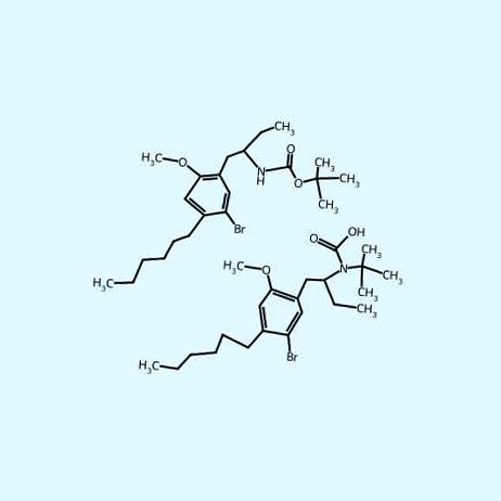 CCCCCCc1cc(OC)c(CC(CC)N(C(=O)O)C(C)(C)C)cc1Br.CCCCCCc1cc(OC)c(CC(CC)NC(=O)OC(C)(C)C)cc1Br